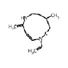 C=CN1/C=C\C(=C)NCCC(C)CC1